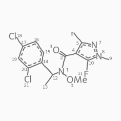 CON(C(=O)c1c(C)nn(C)c1F)C(C)c1ccc(Cl)cc1Cl